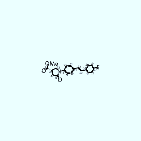 COC(=O)[C@H]1CC(=O)N(c2ccc(/C=C/c3ccc(F)cc3)cc2)C1